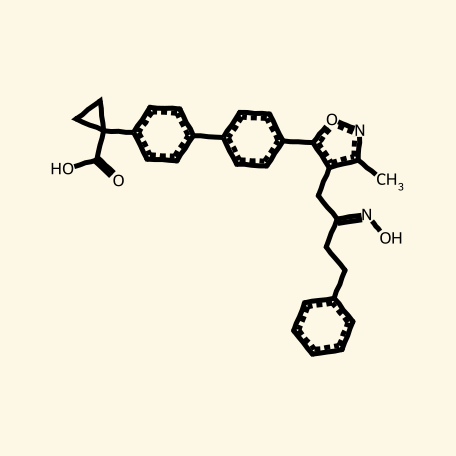 Cc1noc(-c2ccc(-c3ccc(C4(C(=O)O)CC4)cc3)cc2)c1CC(CCc1ccccc1)=NO